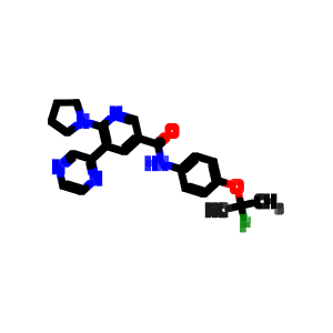 CC(F)(C#N)Oc1ccc(NC(=O)c2cnc(N3CCCC3)c(-c3cnccn3)c2)cc1